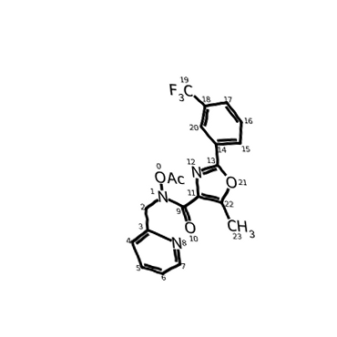 CC(=O)ON(Cc1ccccn1)C(=O)c1nc(-c2cccc(C(F)(F)F)c2)oc1C